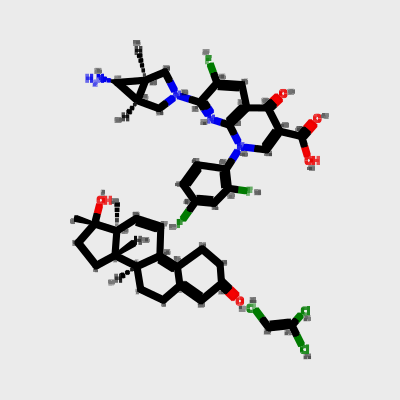 C[C@]1(O)CC[C@H]2[C@@H]3CCC4=CC(=O)CCC4=C3C=C[C@@]21C.ClC=C(Cl)Cl.N[C@@H]1[C@H]2CN(c3nc4c(cc3F)c(=O)c(C(=O)O)cn4-c3ccc(F)cc3F)C[C@@H]12